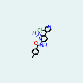 Cc1ccc(C(=O)Nc2ccc(-c3ccncc3Cl)c(N)n2)cc1